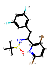 CC(C)(C)[S@+]([O-])NC(Cc1cc(F)cc(F)c1)c1nc(Br)ccc1Br